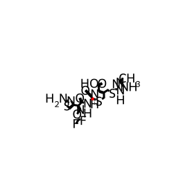 CN1N=C(SCC2=C(C(=O)O)N3C(=O)C(NC(=O)C(=NOC(F)F)c4csc(N)n4)[C@@H]3SC2)NN1